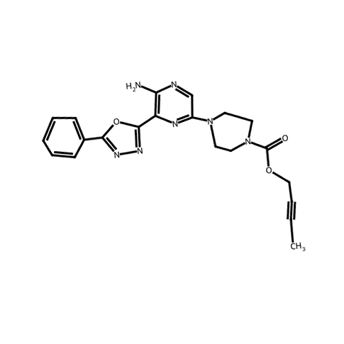 CC#CCOC(=O)N1CCN(c2cnc(N)c(-c3nnc(-c4ccccc4)o3)n2)CC1